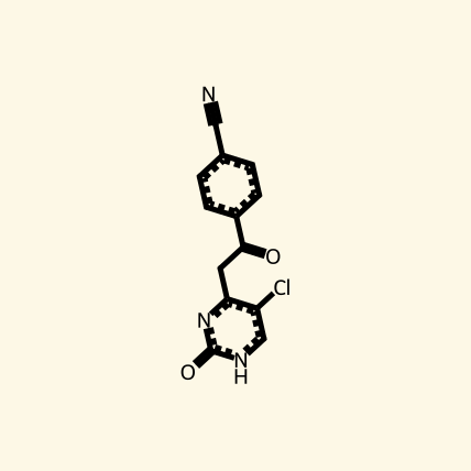 N#Cc1ccc(C(=O)Cc2nc(=O)[nH]cc2Cl)cc1